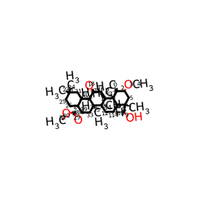 C=C1[C@@H](OC)C[C@](C)(CO)[C@@H]2CC[C@]3(C)C(=CC(=O)[C@@H]4[C@@H]5CC(C)(C)CC[C@]5(C(=O)OC)CC[C@]43C)[C@@]12C